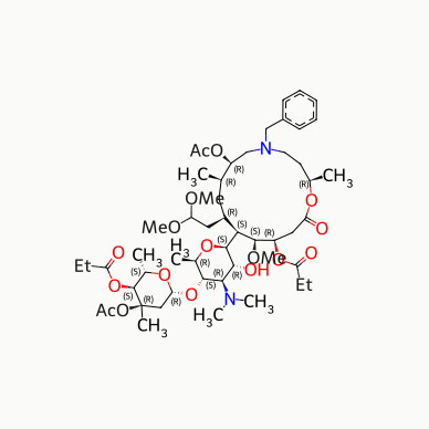 CCC(=O)O[C@@H]1CC(=O)O[C@H](C)CCN(Cc2ccccc2)C[C@H](OC(C)=O)[C@H](C)C[C@H](CC(OC)OC)[C@H]([C@@H]2O[C@H](C)[C@@H](O[C@@H]3C[C@@](C)(OC(C)=O)[C@@H](OC(=O)CC)[C@H](C)O3)[C@H](N(C)C)[C@H]2O)[C@@H]1OC